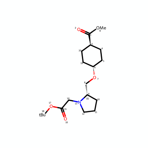 COC(=O)[C@H]1CC[C@H](OC[C@@H]2CCCN2CC(=O)OC(C)(C)C)CC1